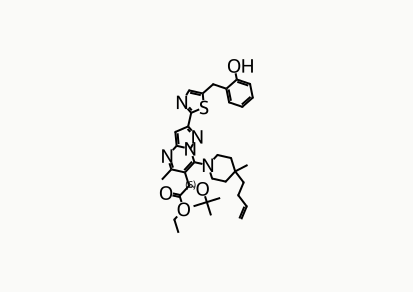 C=CCCC1(C)CCN(c2c([C@H](OC(C)(C)C)C(=O)OCC)c(C)nc3cc(-c4ncc(Cc5ccccc5O)s4)nn23)CC1